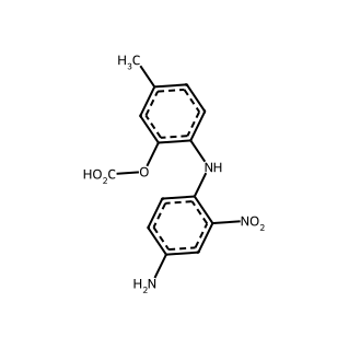 Cc1ccc(Nc2ccc(N)cc2[N+](=O)[O-])c(OC(=O)O)c1